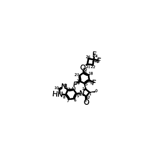 C[C@H]1C(=O)N(c2ccc3[nH]cnc3c2)[C@H]1c1c(F)cc(OC2CC(F)(F)C2)cc1F